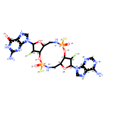 Nc1nc2c(ncn2C2OC3CNP(=O)(S)OC4C(CNP(=O)(S)OC3C2F)OC(n2cnc3c(N)ncnc32)C4F)c(=O)[nH]1